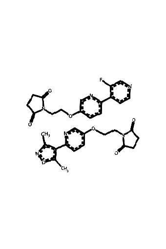 Cc1noc(C)c1-c1ccc(OCCN2C(=O)CCC2=O)cn1.O=C1CCC(=O)N1CCOc1ccc(-c2ccncc2F)nc1